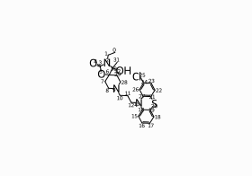 CCN1C(=O)OC2(CCN(CCCN3c4ccccc4Sc4ccc(Cl)cc43)CC2)C1(C)O